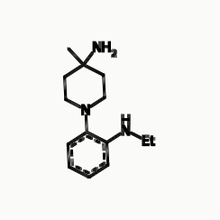 CCNc1ccccc1N1CCC(C)(N)CC1